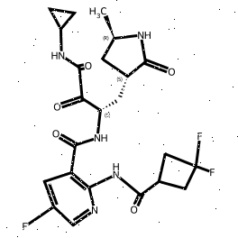 C[C@@H]1C[C@@H](C[C@H](NC(=O)c2cc(F)cnc2NC(=O)C2CC(F)(F)C2)C(=O)C(=O)NC2CC2)C(=O)N1